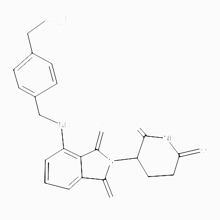 O=C(O)Cc1ccc(CNc2cccc3c2C(=O)N(C2CCC(=O)NC2=O)C3=O)cc1